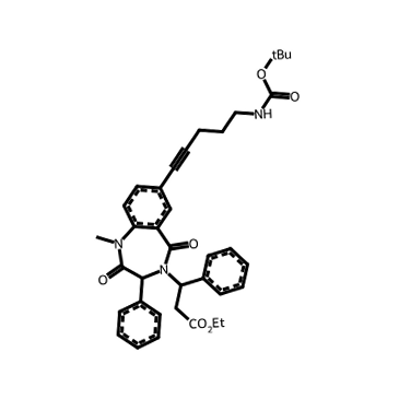 CCOC(=O)CC(c1ccccc1)N1C(=O)c2cc(C#CCCCNC(=O)OC(C)(C)C)ccc2N(C)C(=O)C1c1ccccc1